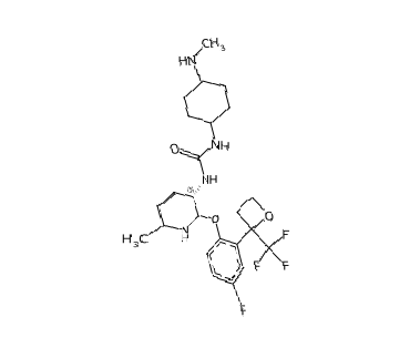 CNC1CCC(NC(=O)N[C@H]2CCC(C)NC2Oc2ccc(F)cc2C2(C(F)(F)F)CCO2)CC1